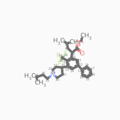 CCOC(=O)C(CC(C)C)c1cc(-c2ccccc2)cc(C2CCN(CCC(C)C)CC2)c1C(F)(F)F